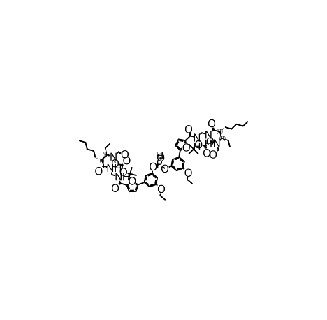 CCCCC[C@@H](C(=O)NCNC(=O)c1ccc(-c2cc(OCC)cc(O[PH](=O)Oc3cc(OCC)cc(-c4ccc(C(=O)NCNC(=O)[C@H](CCCCC)[C@@H](CC)N(C=O)OC(=O)OC(C)(C)C)o4)c3)c2)o1)[C@@H](CC)N(C=O)OC(=O)OC(C)(C)C